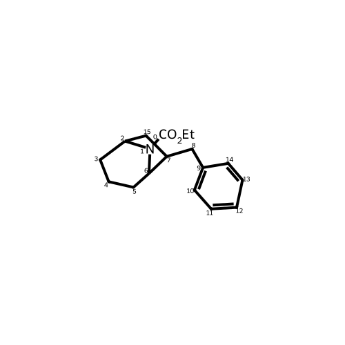 CCOC(=O)N1C2CCCC1C(Cc1ccccc1)C2